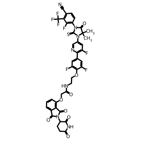 CC1(C)C(=O)N(c2ccc(C#N)c(C(F)(F)F)c2F)C(=S)N1c1cnc(-c2cc(F)c(OCCNC(=O)COc3cccc4c3C(=O)N(C3CCC(=O)NC3=O)C4=O)c(F)c2)c(F)c1